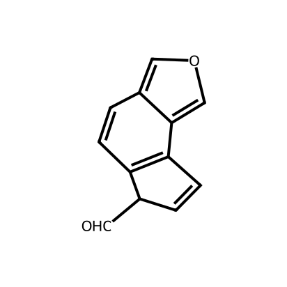 O=CC1C=Cc2c1ccc1cocc21